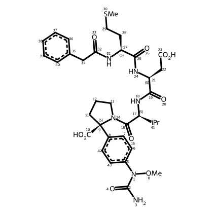 CON(C(N)=O)c1ccc([C@]2(C(=O)O)CCCN2C(=O)[C@@H](NC(=O)[C@H](CC(=O)O)NC(=O)[C@H](CCSC)NC(=O)Cc2ccccc2)C(C)C)cc1